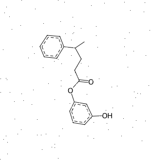 CC(CCC(=O)Oc1cccc(O)c1)c1ccccc1